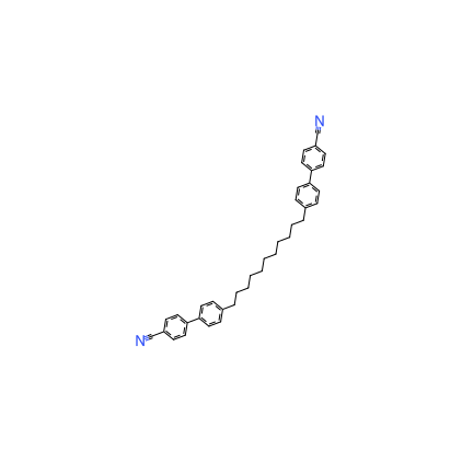 N#Cc1ccc(-c2ccc(CCCCCCCCCCCc3ccc(-c4ccc(C#N)cc4)cc3)cc2)cc1